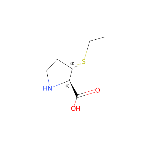 CCS[C@H]1CCN[C@@H]1C(=O)O